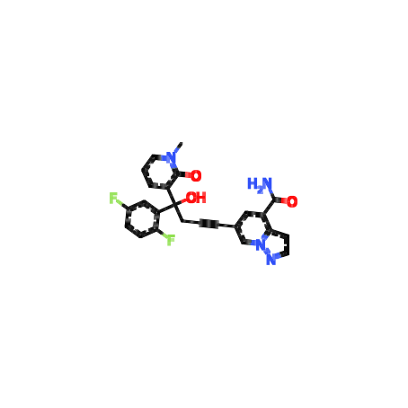 Cn1cccc(C(O)(CC#Cc2cc(C(N)=O)c3ccnn3c2)c2cc(F)ccc2F)c1=O